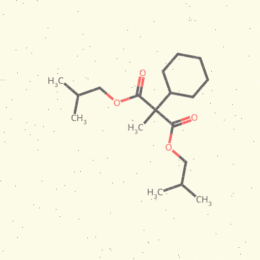 CC(C)COC(=O)C(C)(C(=O)OCC(C)C)C1CCCCC1